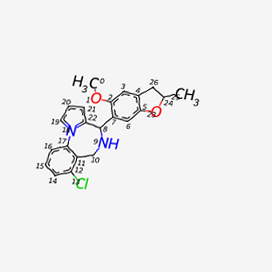 COc1cc2c(cc1C1NCc3c(Cl)cccc3-n3cccc31)OC(C)C2